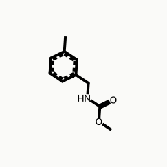 COC(=O)NCc1cccc(C)c1